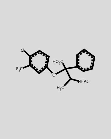 CC(=O)NC(C)C(Oc1ccc(Cl)c(C(F)(F)F)c1)(C(=O)O)c1ccccc1